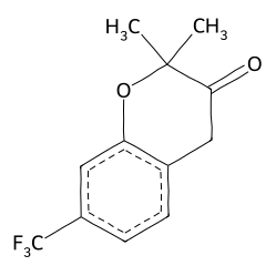 CC1(C)Oc2cc(C(F)(F)F)ccc2CC1=O